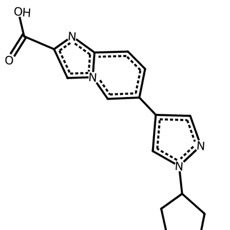 O=C(O)c1cn2cc(-c3cnn(C4CCOC4)c3)ccc2n1